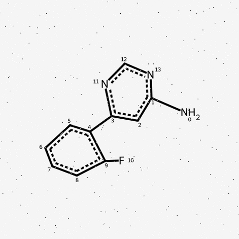 Nc1cc(-c2ccccc2F)ncn1